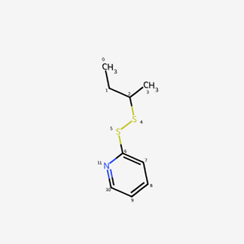 CCC(C)SSc1ccccn1